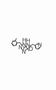 Cc1ccccc1CC(=NC#N)NC(I)(NC(=O)Cc1cccnc1)C(C)(C)C